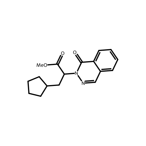 COC(=O)C(CC1CCCC1)n1ncc2ccccc2c1=O